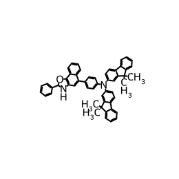 CC1(C)c2ccccc2-c2ccc(N(c3ccc(-c4cc5c(c6ccccc46)OC(c4ccccc4)N5)cc3)c3ccc4c(c3)C(C)(C)c3ccccc3-4)cc21